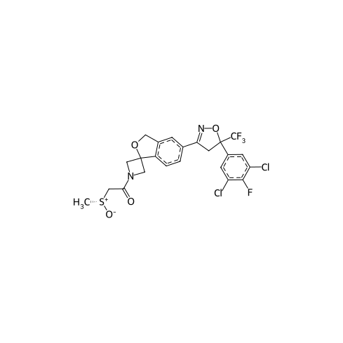 C[S@@+]([O-])CC(=O)N1CC2(C1)OCc1cc(C3=NOC(c4cc(Cl)c(F)c(Cl)c4)(C(F)(F)F)C3)ccc12